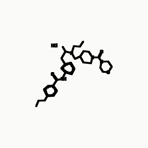 CCCc1ccc(C(=O)Nc2cccc(CC(C)N(CCC)CC3CCN(C(=O)N4CCOCC4)CC3)c2)cc1.Cl